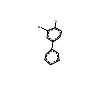 Brc1ccc(-c2ccccc2)cc1Br